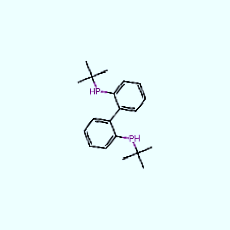 CC(C)(C)Pc1ccccc1-c1ccccc1PC(C)(C)C